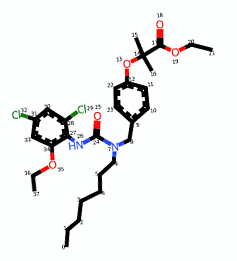 CCCCCCCN(Cc1ccc(OC(C)(C)C(=O)OCC)cc1)C(=O)Nc1c(Cl)cc(Cl)cc1OCC